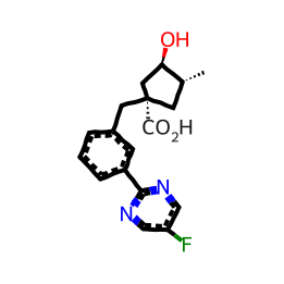 C[C@@H]1C[C@](Cc2cccc(-c3ncc(F)cn3)c2)(C(=O)O)C[C@H]1O